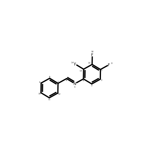 Fc1ccc(N=Cc2ccccc2)c(F)c1F